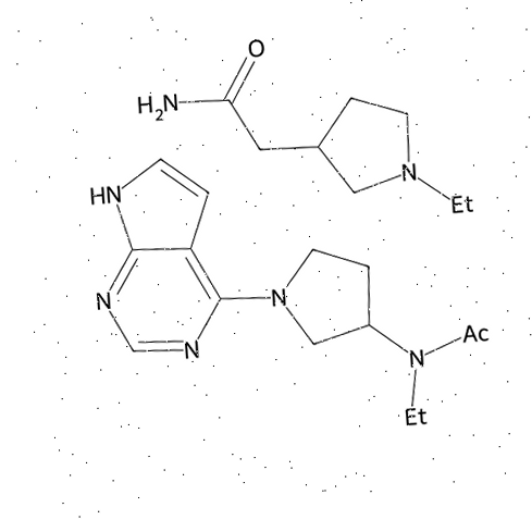 CCN(C(C)=O)C1CCN(c2ncnc3[nH]ccc23)C1.CCN1CCC(CC(N)=O)C1